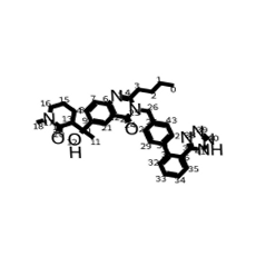 CCCCc1nc2ccc(C(C)(O)C3CCCN(C)C3=O)cc2c(=O)n1Cc1ccc(-c2ccccc2-c2nnn[nH]2)cc1